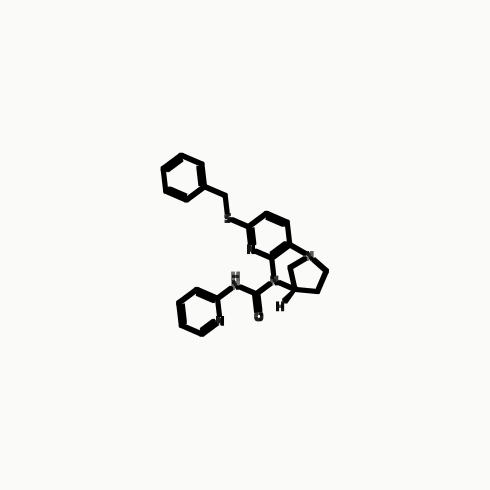 O=C(Nc1ccccn1)N1c2nc(SCc3ccccc3)ccc2N2CC[C@H]1C2